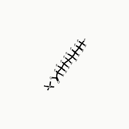 C[N+](C)(C)C.O=C([O-])C(F)(F)C(F)(F)C(F)(F)C(F)(F)C(F)(F)C(F)(F)C(F)(F)C(F)(F)F